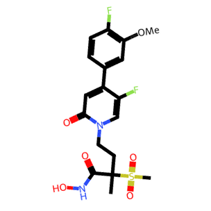 COc1cc(-c2cc(=O)n(CCC(C)(C(=O)NO)S(C)(=O)=O)cc2F)ccc1F